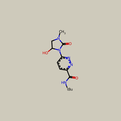 CN1CC(O)N(c2ccc(C(=O)NC(C)(C)C)nn2)C1=O